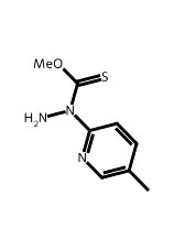 COC(=S)N(N)c1ccc(C)cn1